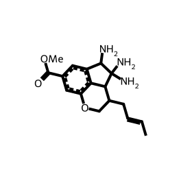 CC=CCC1COc2cc(C(=O)OC)cc3c2C1C(N)(N)C3N